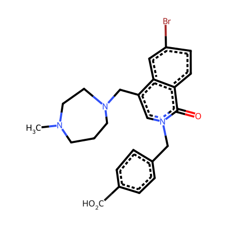 CN1CCCN(Cc2cn(Cc3ccc(C(=O)O)cc3)c(=O)c3ccc(Br)cc23)CC1